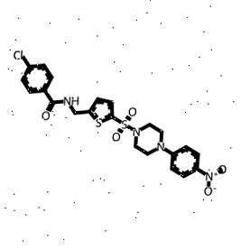 O=C(NCc1ccc(S(=O)(=O)N2CCN(c3ccc([N+](=O)[O-])cc3)CC2)s1)c1ccc(Cl)cc1